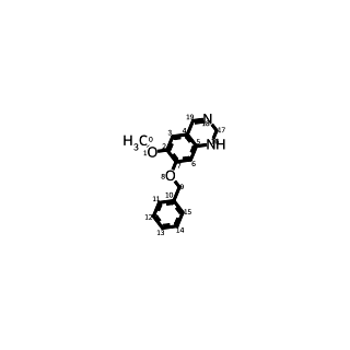 COc1cc2c(cc1OCc1ccccc1)NCN=C2